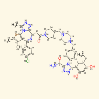 CCc1cc(-c2nnc(C(N)=O)n2-c2ccc(CN3CCN(CC4CCN(C(=O)C[C@@H]5N=C(c6ccc(Cl)cc6)c6c(sc(C)c6C)-n6c(C)nnc65)CC4)CC3)cc2)c(O)cc1O